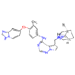 Cc1cc(Nc2ncnn3ccc(CN4C[C@H]5CC[C@@H](C4)[C@H]5N)c23)ccc1Oc1ccn2ncnc2c1